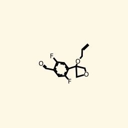 C=CCOC1(c2cc(F)c(C=O)cc2F)COC1